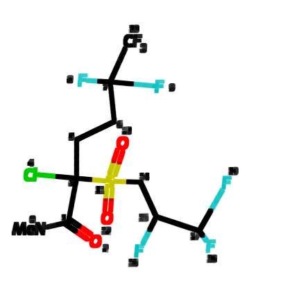 CNC(=O)C(Cl)(CCC(F)(F)C(F)(F)F)S(=O)(=O)CC(F)C(F)F